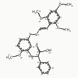 COc1cc(OC)c(C=CSCc2ccc(OC)c(NC(C(=O)O)c3ccccc3)c2)c(OC)c1